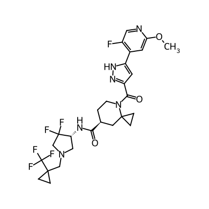 COc1cc(-c2cc(C(=O)N3CC[C@H](C(=O)N[C@@H]4CN(CC5(C(F)(F)F)CC5)CC4(F)F)CC34CC4)n[nH]2)c(F)cn1